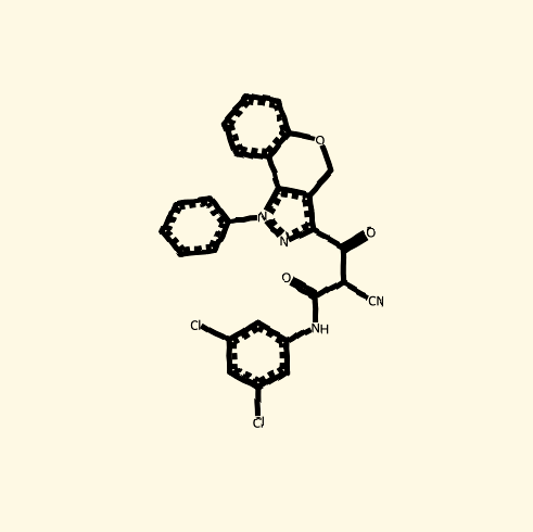 N#CC(C(=O)Nc1cc(Cl)cc(Cl)c1)C(=O)c1nn(-c2ccccc2)c2c1COc1ccccc1-2